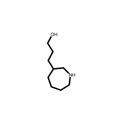 OCCCC1CCCCNC1